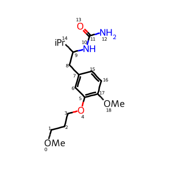 COCCCOc1cc(CC(NC(N)=O)C(C)C)ccc1OC